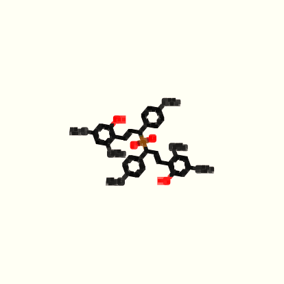 COc1ccc(C(C=Cc2c(O)cc(OC)cc2OC)S(=O)(=O)C(C=Cc2c(O)cc(OC)cc2OC)c2ccc(OC)cc2)cc1